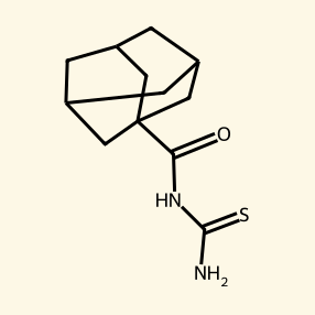 NC(=S)NC(=O)C12CC3CC(CC(C3)C1)C2